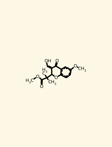 COC(=O)C(C)(C)C1Oc2ccc(OC)cc2C(=O)C1=CO